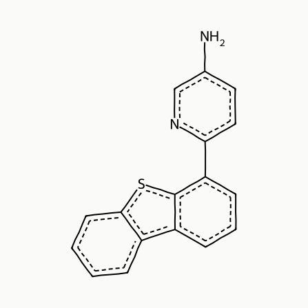 Nc1ccc(-c2cccc3c2sc2ccccc23)nc1